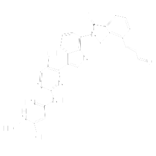 CN/C(C)=C\C(=N)Nc1ncc(C)c(-c2c[nH]c3c(N4Cc5c(/C=C/C=O)cccc5C4=O)cccc23)n1